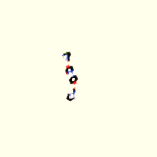 C[C@@H]1CC[C@@H](C)N1CCOc1ccc(-n2ccc(OCc3ccc(F)cn3)cc2=O)cc1